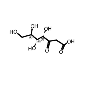 O=C(O)CC(=O)[C@@H](O)[C@H](O)[C@H](O)CO